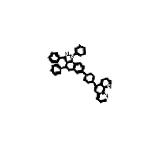 c1ccc(-c2cc3cc(-c4ccc(-c5cc6cccnc6c6ncccc56)cc4)ccc3c3c2c(-c2ccccc2)nn3-c2ccccc2)cc1